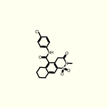 CN1C(=O)Cc2c(cc3c(c2C(=O)Nc2ccc(Cl)cc2)CCCC3)S1(=O)=O